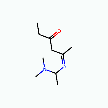 CCC(=O)C/C(C)=N\C(C)N(C)C